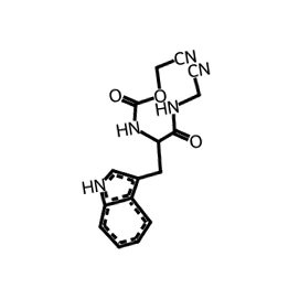 N#CCNC(=O)C(Cc1c[nH]c2ccccc12)NC(=O)OCC#N